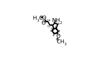 CCOc1ccc2c(c1)CC(N)C2CCC(=O)OC